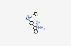 Nc1c(-c2ccc(-n3ccnc3CCc3ccsc3)cc2)cc2ccccc2c1N